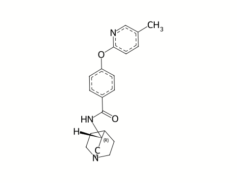 Cc1ccc(Oc2ccc(C(=O)N[C@H]3CN4CCC3CC4)cc2)nc1